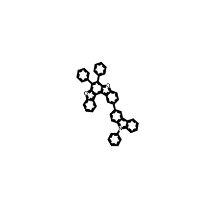 c1ccc(-c2c(-c3ccccc3)c3oc4ccc(-c5ccc6c(c5)c5ccccc5n6-c5ccccc5)cc4c3c3c2oc2ccccc23)cc1